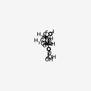 CO[C@H](C)[C@@H](c1nc(C)c(-c2ccc(I)cc2F)[nH]1)N1C(=O)NC(c2ccc(OCC(O)CO)cc2)C1=O